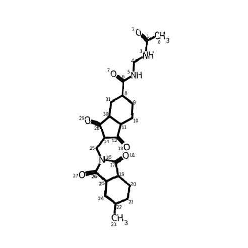 CC(=O)NCNC(=O)C1CCC2C(=O)C(CN3C(=O)C4CCC(C)CC4C3=O)C(=O)C2C1